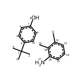 CC(C)(C)c1ccc(O)cc1.Cc1cccc(N)c1C